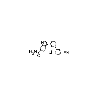 N#Cc1ccc(Cl)c(-c2cccc(-n3cnc4cc(C(N)=O)ccc43)c2)c1